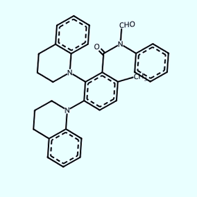 Cc1ccc(N2CCCc3ccccc32)c(N2CCCc3ccccc32)c1C(=O)N(C=O)c1ccccc1